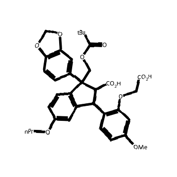 CCCOc1ccc2c(c1)C(c1ccc(OC)cc1OCC(=O)O)C(C(=O)O)C2(COC(=O)C(C)(C)C)c1ccc2c(c1)OCO2